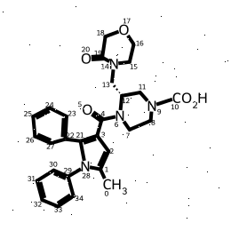 Cc1cc(C(=O)N2CCN(C(=O)O)C[C@H]2CN2CCOCC2=O)c(-c2ccccc2)n1-c1ccccc1